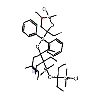 C/C=C(\C)CC(CC)(O[Si](c1ccccc1)(c1ccccc1)C(CC)(CCC)O[Si](C)(C)Cl)C(CC)(CC)[Si](C)(C)OC(CC)(CC)[Si](C)(C)Cl